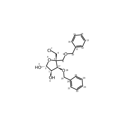 O[C@H]1[C@H](O)O[C@](CCl)(COCc2ccccc2)[C@H]1OCc1ccccc1